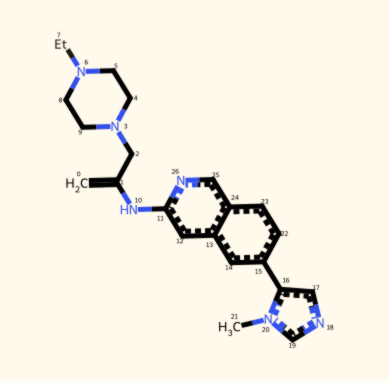 C=C(CN1CCN(CC)CC1)Nc1cc2cc(-c3cncn3C)ccc2cn1